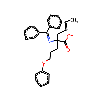 CC=CCC(CCCOc1ccccc1)(N=C(c1ccccc1)c1ccccc1)C(=O)O